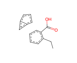 CCc1ccccc1C(=O)O.c1cc2cc-2c1